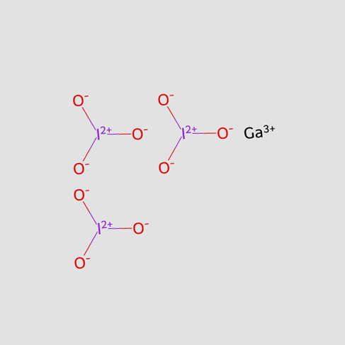 [Ga+3].[O-][I+2]([O-])[O-].[O-][I+2]([O-])[O-].[O-][I+2]([O-])[O-]